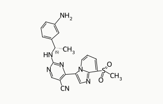 C[C@H](Nc1ncc(C#N)c(-c2cnc3c(S(C)(=O)=O)cccn23)n1)c1cccc(N)c1